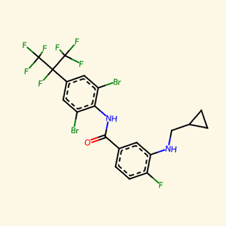 O=C(Nc1c(Br)cc(C(F)(C(F)(F)F)C(F)(F)F)cc1Br)c1ccc(F)c(NCC2CC2)c1